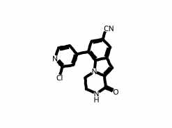 N#Cc1cc(-c2ccnc(Cl)c2)c2c(c1)cc1n2CCNC1=O